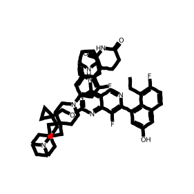 CCc1c(F)ccc2cc(O)cc(-c3ncc4c(N5CC6CCC(C5)N6)nc(OCC5(CN6CC7CC(C6)N7C6CC7(CCN(c8cc(F)c(C9CCC(=O)NC9=O)c(F)c8)CC7)C6)CC5)nc4c3F)c12